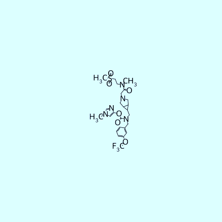 CN(CCS(C)(=O)=O)C(=O)CN1CC2C(C1)C2CN(Cc1cccc(OC(F)(F)F)c1)C(=O)Oc1cn(C)cn1